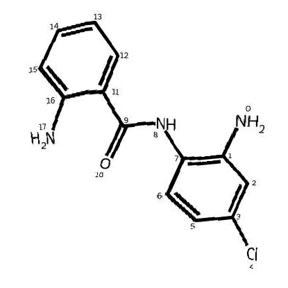 Nc1cc(Cl)ccc1NC(=O)c1ccccc1N